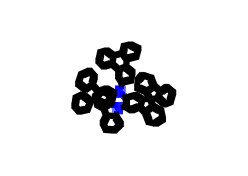 c1ccc(-c2ccc(N(c3ccc4c5ccccc5c5ccccc5c4c3)c3cc4c(cc3-n3c5ccccc5c5ccccc53)-c3ccccc3C43c4ccccc4-c4ccccc43)cc2-c2ccccc2)cc1